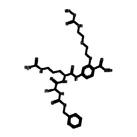 COC(=O)c1ccc(NC(=O)[C@H](CCCNC(N)=O)NC(=O)[C@@H](NC(=O)OCc2ccccc2)C(C)C)cc1OCCOCCNC(=O)OC(C)(C)C